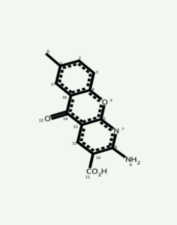 Cc1ccc2oc3nc(N)c(C(=O)O)cc3c(=O)c2c1